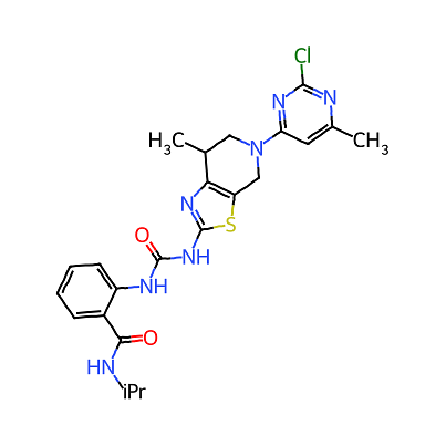 Cc1cc(N2Cc3sc(NC(=O)Nc4ccccc4C(=O)NC(C)C)nc3C(C)C2)nc(Cl)n1